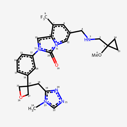 COC1(CNCc2cc(C(F)(F)F)c3cn(-c4cccc(C5(Cc6nncn6C)COC5)c4)c(=O)n3c2)CC1